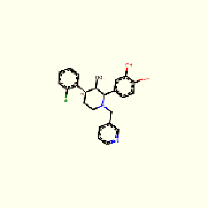 O=[N+]([O-])C1C(c2ccc(O)c(O)c2)N(Cc2cccnc2)CC[C@H]1c1ccccc1Br